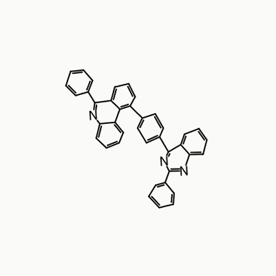 c1ccc(-c2nc(-c3ccc(-c4cccc5c(-c6ccccc6)nc6ccccc6c45)cc3)c3ccccc3n2)cc1